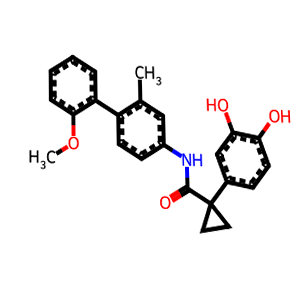 COc1ccccc1-c1ccc(NC(=O)C2(c3ccc(O)c(O)c3)CC2)cc1C